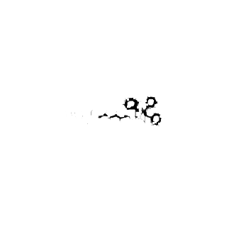 O=C(O)CCCCCCSc1nc(-c2ccccc2)c(-c2ccccc2)n1-c1ccccc1